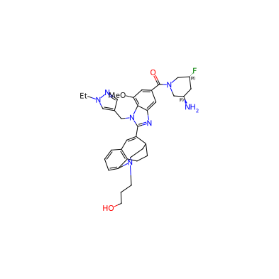 CCn1cc(Cn2c(C3=Cc4cccc5c4CCC3CCN5CCCO)nc3cc(C(=O)N4C[C@H](N)C[C@@H](F)C4)cc(OC)c32)cn1